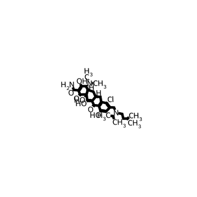 CC(C)CCN(Cc1cc(O)c2c(c1Cl)C[C@H]1C[C@H]3[C@H](N(C)C)C(O)=C(C(N)=O)C(=O)[C@@]3(O)C(O)=C1C2=O)C(C)C